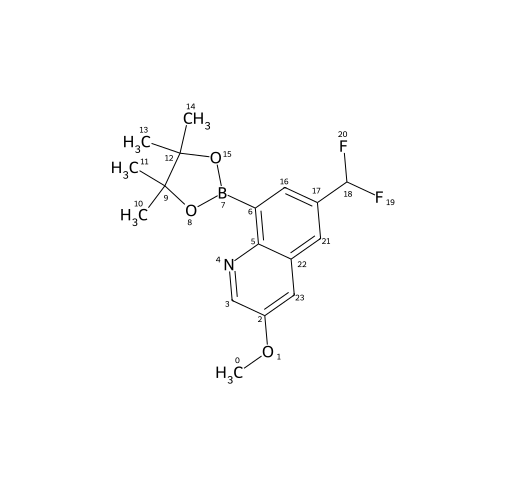 COc1cnc2c(B3OC(C)(C)C(C)(C)O3)cc(C(F)F)cc2c1